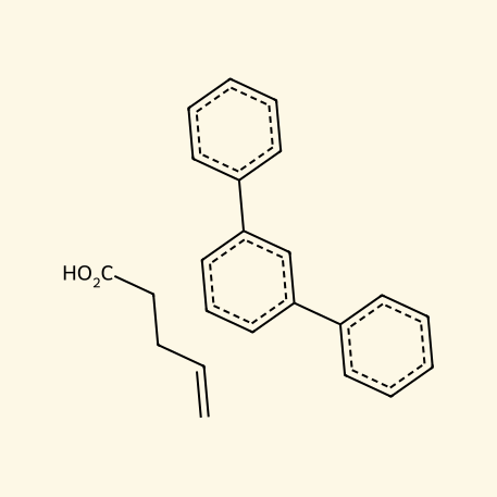 C=CCCC(=O)O.c1ccc(-c2cccc(-c3ccccc3)c2)cc1